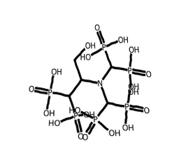 O=P(O)(O)C(C(CO)N(C(P(=O)(O)O)P(=O)(O)O)C(P(=O)(O)O)P(=O)(O)O)P(=O)(O)O